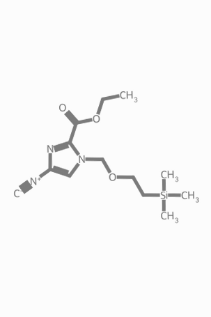 [C-]#[N+]c1cn(COCC[Si](C)(C)C)c(C(=O)OCC)n1